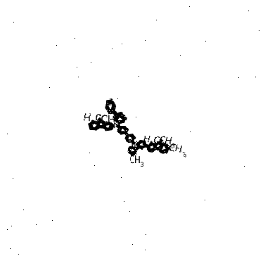 Cc1ccc2c(c1)C(C)(C)c1cc(-c3ccc4c(c3)c3cc(C)ccc3n4-c3ccc(-c4ccc(N(c5cccc(-c6ccccc6)c5)c5ccc6c(c5)C(C)(C)c5ccccc5-6)cc4)cc3)ccc1-2